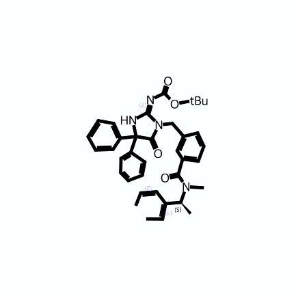 C/C=C\C(=C/C)[C@H](C)N(C)C(=O)c1cccc(CN2C(=O)C(c3ccccc3)(c3ccccc3)N/C2=N/C(=O)OC(C)(C)C)c1